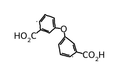 O=C(O)c1[c]ccc(Oc2cc[c]c(C(=O)O)c2)c1